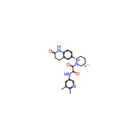 Cc1cc(NC(=O)C(=O)N2C[C@@H](C)CC[C@@H]2c2ccc3c(c2)CCC(=O)N3)cnc1C